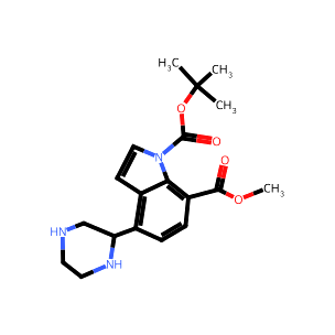 COC(=O)c1ccc(C2CNCCN2)c2ccn(C(=O)OC(C)(C)C)c12